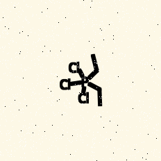 CCP(Cl)(Cl)(Cl)CC